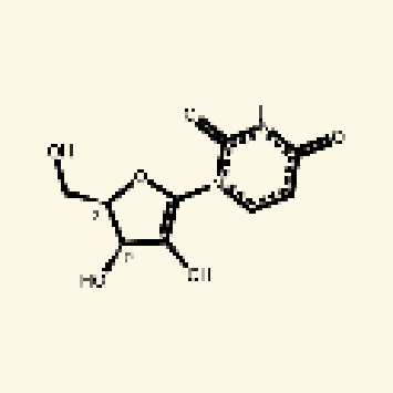 O=c1ccn(C2=C(O)[C@@H](O)[C@@H](CO)O2)c(=O)[nH]1